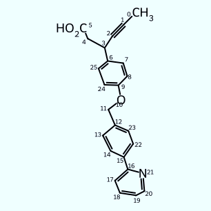 CC#CC(CC(=O)O)c1ccc(OCc2ccc(-c3ccccn3)cc2)cc1